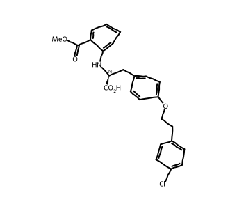 COC(=O)c1ccccc1N[C@@H](Cc1ccc(OCCc2ccc(Cl)cc2)cc1)C(=O)O